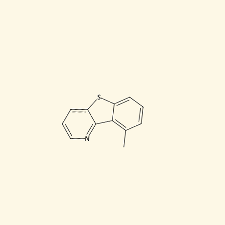 Cc1cccc2sc3cccnc3c12